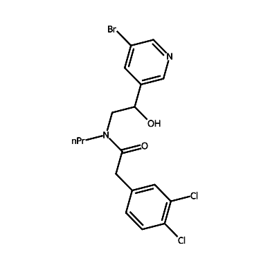 CCCN(CC(O)c1cncc(Br)c1)C(=O)Cc1ccc(Cl)c(Cl)c1